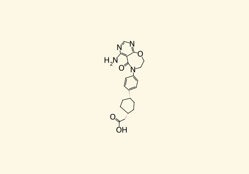 Nc1ncnc2c1C(=O)N(c1ccc([C@H]3CC[C@@H](CC(=O)O)CC3)cc1)CCO2